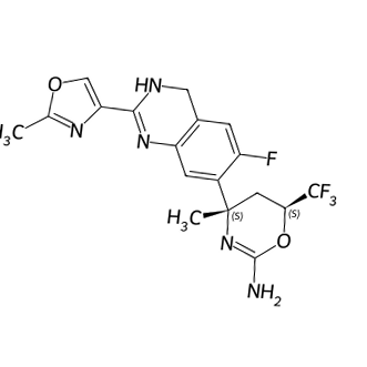 Cc1nc(C2=Nc3cc([C@]4(C)C[C@@H](C(F)(F)F)OC(N)=N4)c(F)cc3CN2)co1